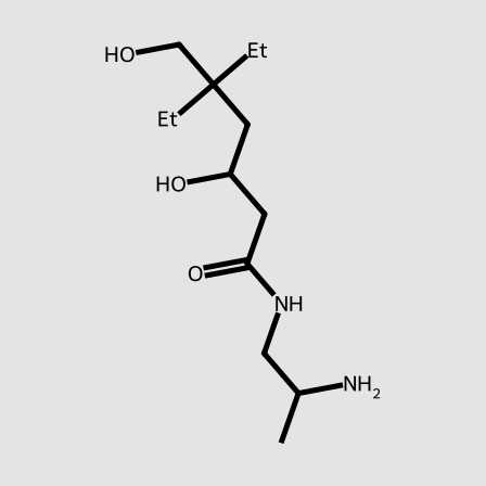 CCC(CC)(CO)CC(O)CC(=O)NCC(C)N